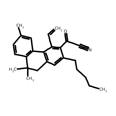 C=Cc1c(C(=O)C#N)c(CCCCC)cc2c1-c1cc(C)ccc1C(C)(C)C2